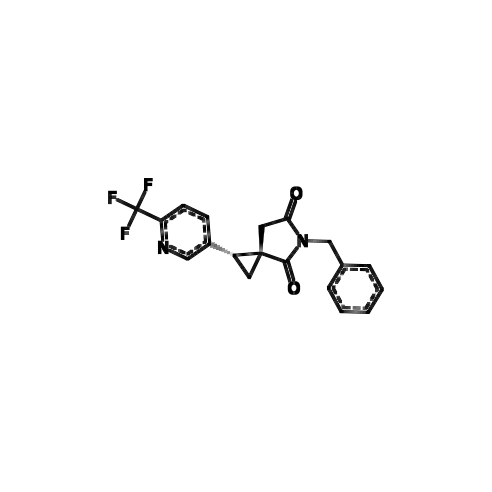 O=C1C[C@]2(C[C@@H]2c2ccc(C(F)(F)F)nc2)C(=O)N1Cc1ccccc1